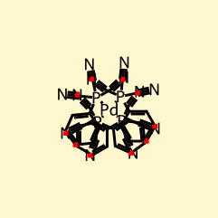 N#C[P](C#N)(C#N)(c1ccccc1)[Pd]([P](C#N)(C#N)(C#N)c1ccccc1)([P](C#N)(C#N)(C#N)c1ccccc1)[P](C#N)(C#N)(C#N)c1ccccc1